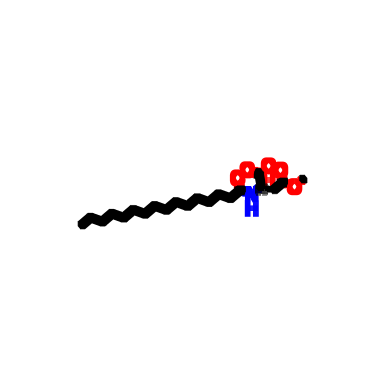 CCCCCCCCCCCCCCCC(=O)N[C@@H](CC(=O)OC)C(=O)O